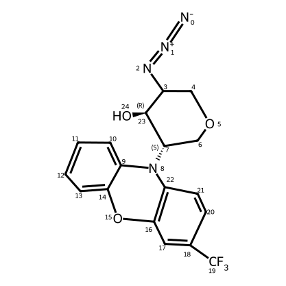 [N-]=[N+]=NC1COC[C@H](N2c3ccccc3Oc3cc(C(F)(F)F)ccc32)[C@H]1O